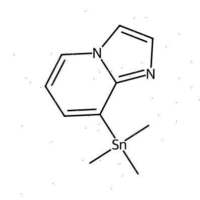 [CH3][Sn]([CH3])([CH3])[c]1cccn2ccnc12